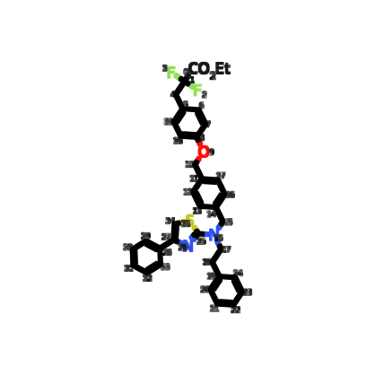 CCOC(=O)C(F)(F)Cc1ccc(OCc2ccc(CN(CCc3ccccc3)c3nc(-c4ccccc4)cs3)cc2)cc1